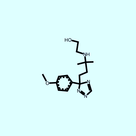 COc1ccc(C2(CCC(C)(C)NCCO)N=CN=N2)cc1